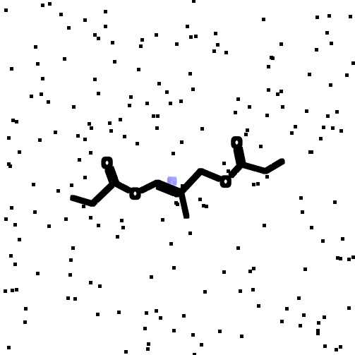 CCC(=O)O/C=C(\C)COC(=O)CC